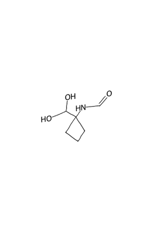 O=CNC1(C(O)O)CCC1